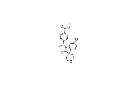 COC(=O)c1ccc([C@H](C)NC(=O)C2(c3ccc(OC)cc3)CCOCC2)cc1